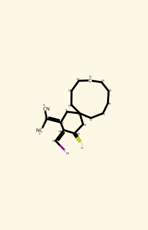 N#CC(C#N)=C1CC2(CCCCCCCCC2)CC(=S)/C1=C\I